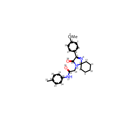 COc1ccc(C2=NC3(CCCCC3)N(CC(=O)Nc3ccc(C)cc3)C2=O)cc1